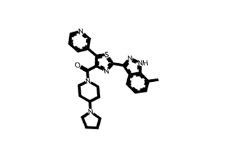 Cc1cccc2c(-c3nc(C(=O)N4CCC(N5CCCC5)CC4)c(-c4cccnc4)s3)n[nH]c12